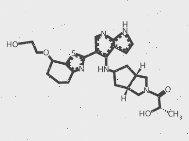 C[C@H](O)C(=O)N1C[C@H]2CC(Nc3c(-c4nc5c(s4)C(OCCO)CCC5)cnc4[nH]ccc34)C[C@H]2C1